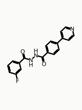 O=C(NNC(=O)c1cccc(F)c1)c1ccc(-c2ccncc2)cc1